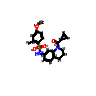 CCOc1ccc(S(=O)(=O)Nc2ccc3c(c2)N(C(=O)C2CC2)CCC3)c(C)c1